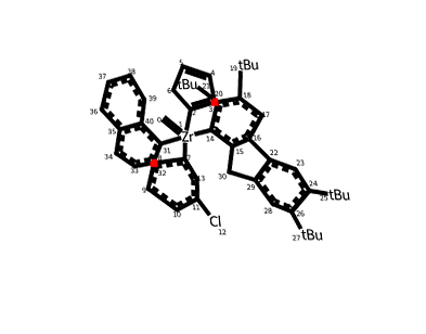 [CH2]=[Zr]([C]1=CC=CC1)([c]1cccc(Cl)c1)([c]1c2c(cc(C(C)(C)C)c1C(C)(C)C)-c1cc(C(C)(C)C)c(C(C)(C)C)cc1C2)[c]1cccc2ccccc12